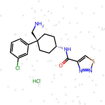 Cl.NC[C@]1(c2cccc(Cl)c2)CC[C@@H](NC(=O)c2csnn2)CC1